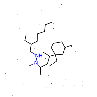 CCCCCC(CC)CNN(C)C(C)CC(C)C1(CC)CCCC(C)C1